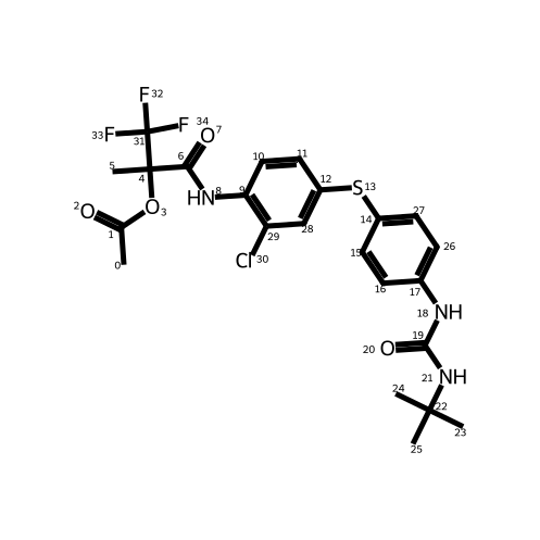 CC(=O)OC(C)(C(=O)Nc1ccc(Sc2ccc(NC(=O)NC(C)(C)C)cc2)cc1Cl)C(F)(F)F